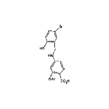 CC(=O)Oc1cc(NCc2cc(Br)ccc2O)ccc1C(=O)O